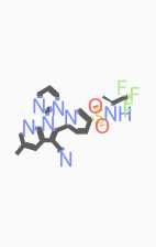 Cc1cnc2c(c1)c(C#N)c(-c1ccc(S(=O)(=O)N[C@@H](C)C(F)(F)F)cn1)n2-c1ncccn1